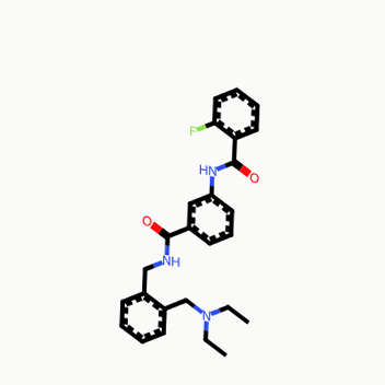 CCN(CC)Cc1ccccc1CNC(=O)c1cccc(NC(=O)c2ccccc2F)c1